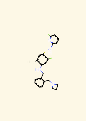 Cc1cc(SNc2cccc(F)n2)c(F)cc1NCc1ccccc1CN1CCC1